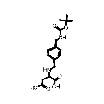 CC(C)(C)OC(=O)NCc1ccc(CNC(CC(=O)O)C(=O)O)cc1